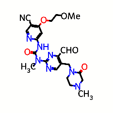 COCCOc1cc(NC(=O)N(C)c2ncc(CN3CCN(C)CC3=O)c(C=O)n2)ncc1C#N